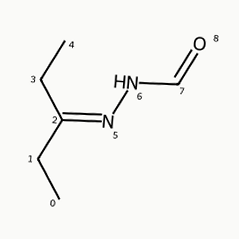 CCC(CC)=NNC=O